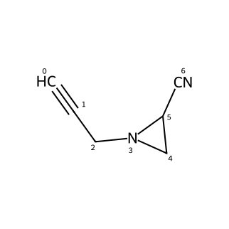 C#CCN1CC1C#N